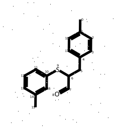 Cc1ccc(CC(C=O)Sc2cccc(C)c2)cc1